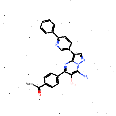 Bc1c(-c2ccc(C(=O)OC)cc2)nc2c(-c3ccc(-c4ccccc4)nc3)cnn2c1N